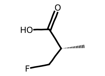 C[C@H](CF)C(=O)O